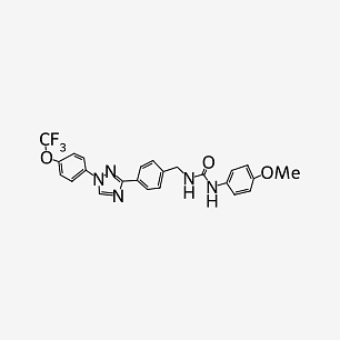 COc1ccc(NC(=O)NCc2ccc(-c3ncn(-c4ccc(OC(F)(F)F)cc4)n3)cc2)cc1